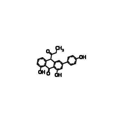 CCC(=O)C1c2cccc(O)c2C(=O)c2c(O)cc(-c3ccc(O)cc3)cc21